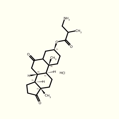 CC(CN)C(=O)O[C@H]1CC[C@@]2(C)C(C1)C(=O)C[C@@H]1[C@@H]2CC[C@]2(C)C(=O)CC[C@@H]12.Cl